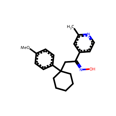 COc1ccc(C2(CC(=NO)c3ccnc(C)c3)CCCCC2)cc1